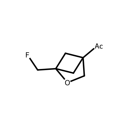 CC(=O)C12COC(CF)(C1)C2